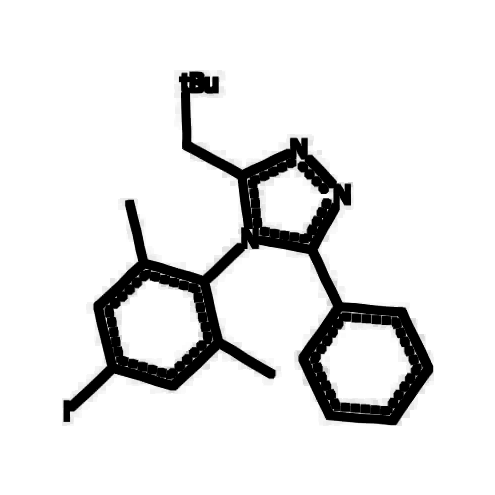 Cc1cc(I)cc(C)c1-n1c(CC(C)(C)C)nnc1-c1ccccc1